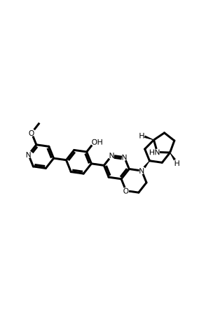 COc1cc(-c2ccc(-c3cc4c(nn3)N([C@@H]3C[C@H]5CC[C@@H](C3)N5)CCO4)c(O)c2)ccn1